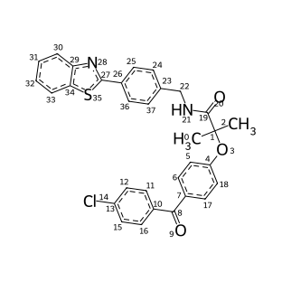 CC(C)(Oc1ccc(C(=O)c2ccc(Cl)cc2)cc1)C(=O)NCc1ccc(-c2nc3ccccc3s2)cc1